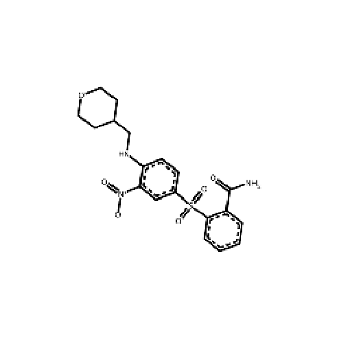 NC(=O)c1ccccc1S(=O)(=O)c1ccc(NCC2CCOCC2)c([N+](=O)[O-])c1